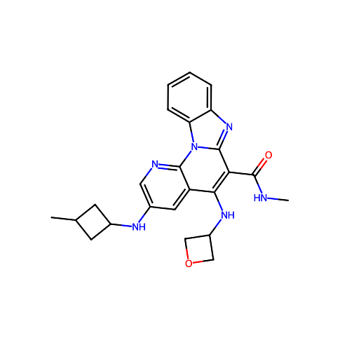 CNC(=O)c1c(NC2COC2)c2cc(NC3CC(C)C3)cnc2n2c1nc1ccccc12